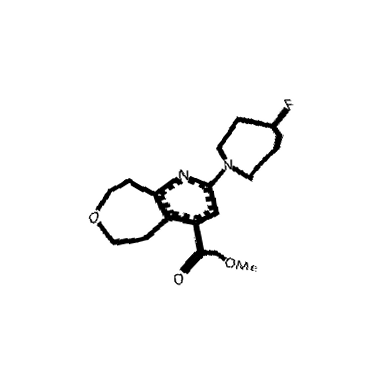 COC(=O)c1cc(N2CCC(F)CC2)nc2c1CCOCC2